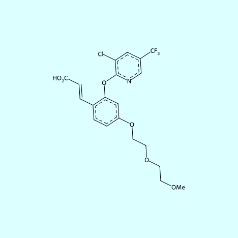 COCCOCCOc1ccc(C=CC(=O)O)c(Oc2ncc(C(F)(F)F)cc2Cl)c1